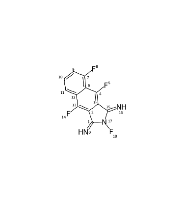 N=C1c2c(c(F)c3c(F)cccc3c2F)C(=N)N1F